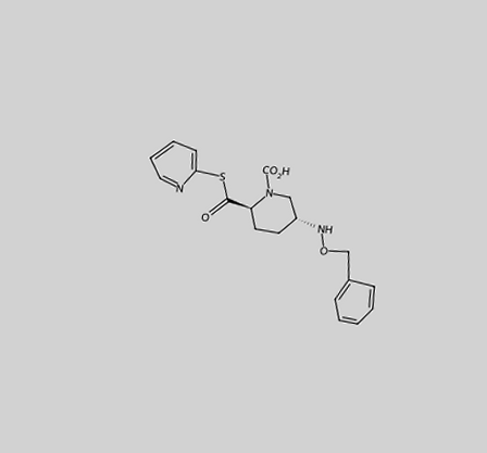 O=C(Sc1ccccn1)[C@@H]1CC[C@@H](NOCc2ccccc2)CN1C(=O)O